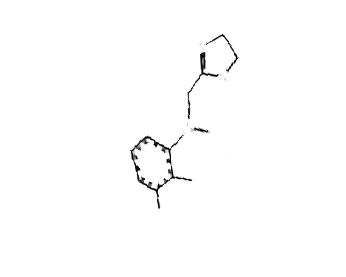 CCCN(CC1=NCCN1)c1cccc(C)c1C.Cl